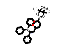 CCC1(C)OB(c2ccc(/C=C(\B(c3ccccc3)c3ccccc3)c3ccccc3)nc2)OC1(C)C